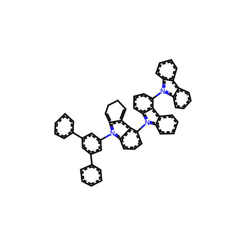 C1=c2c(n(-c3cc(-c4ccccc4)cc(-c4ccccc4)c3)c3cccc(-n4c5ccccc5c5c(-n6c7ccccc7c7ccccc76)cccc54)c23)=CCC1